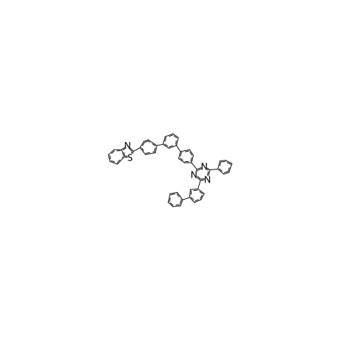 c1ccc(-c2cccc(-c3nc(-c4ccccc4)nc(-c4ccc(-c5cccc(-c6ccc(-c7nc8ccccc8s7)cc6)c5)cc4)n3)c2)cc1